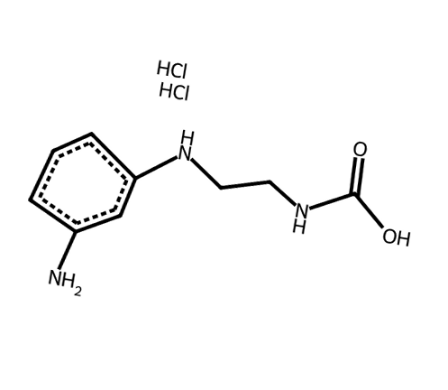 Cl.Cl.Nc1cccc(NCCNC(=O)O)c1